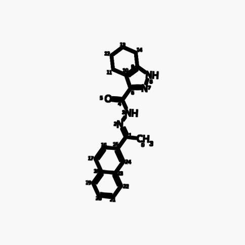 CC(=NNC(=O)c1n[nH]c2c1CCCC2)c1ccc2ccccc2c1